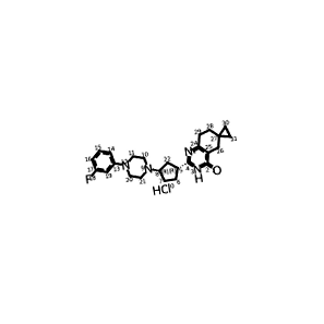 Cl.O=c1[nH]c([C@@H]2CC[C@@H](N3CCN(c4cccc(F)c4)CC3)C2)nc2c1CC1(CC2)CC1